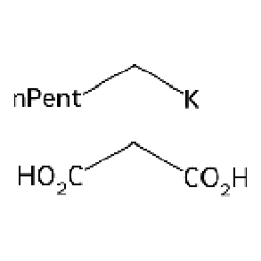 CCCCC[CH2][K].O=C(O)CC(=O)O